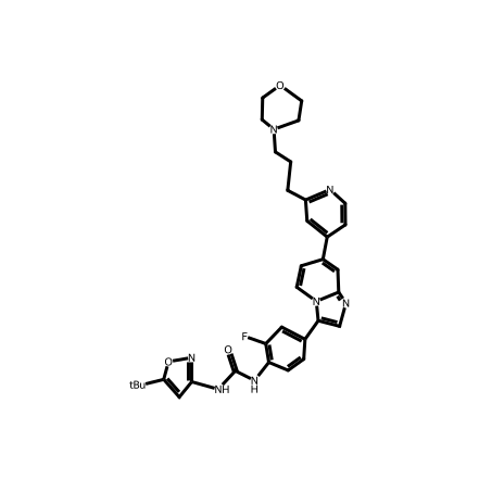 CC(C)(C)c1cc(NC(=O)Nc2ccc(-c3cnc4cc(-c5ccnc(CCCN6CCOCC6)c5)ccn34)cc2F)no1